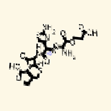 C=CC1=C(C(=O)O)N2C(=O)C(NC(=O)/C(=N/OC(N)C(=O)OCCC(=O)O)c3csc(N)n3)[C@H]2SC1